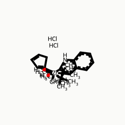 C[C](C)(C)[Zr]([CH3])([CH3])([CH3])([CH3])([CH3])([CH3])(=[SiH2])([C]1=CC=CC1)([c]1cc2ccccc2[nH]1)[C](C)(C)C.Cl.Cl